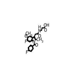 COc1cc2c(CC(=O)NCCC(=O)O)c(C)n(C(=O)c3ccc(F)cc3)c2cc1F